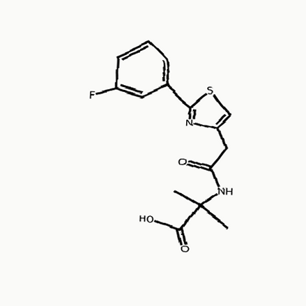 CC(C)(NC(=O)Cc1csc(-c2cccc(F)c2)n1)C(=O)O